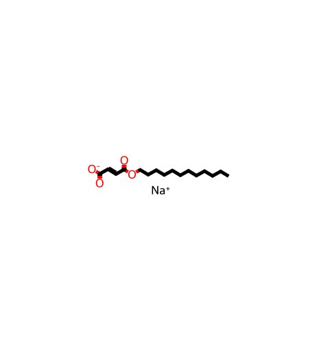 CCCCCCCCCCCCOC(=O)/C=C/C(=O)[O-].[Na+]